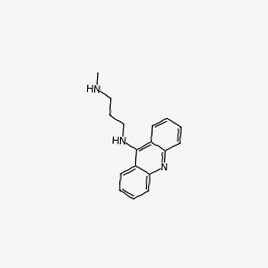 CNCCCNc1c2ccccc2nc2ccccc12